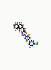 O=C1N=C(N2CCN(c3cccc(Cl)n3)CC2)SC1=Cc1ccc2ccccc2c1